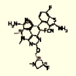 C[C@H](c1cccnc1N)N(C)c1nc(OC[C@@H]2C[C@@H](F)CN2C)nc2c(F)c(-c3ccc(F)c4sc(N)c(C#N)c34)c(Cl)cc12